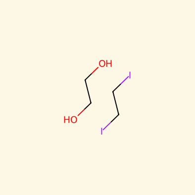 ICCI.OCCO